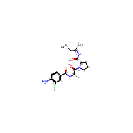 C[C@H](NC(=O)c1ccc(N)c(Cl)c1)C(=O)N1CCC[C@H]1C(=O)N[C@H](C=O)CC(=O)O